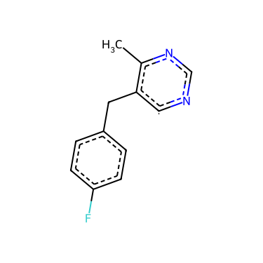 Cc1ncn[c]c1Cc1ccc(F)cc1